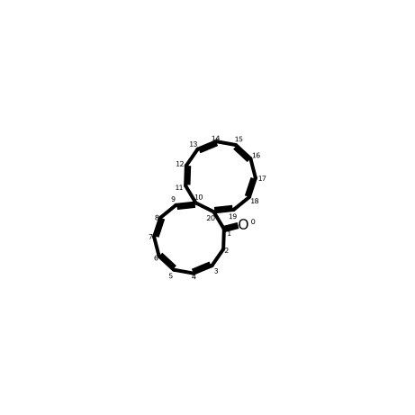 O=C1CC=CC=CC=CC=C2C=CC=CC=CC=CC=C12